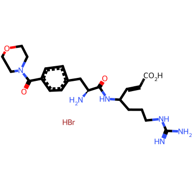 Br.N=C(N)NCCCC(C=CC(=O)O)NC(=O)[C@@H](N)Cc1ccc(C(=O)N2CCOCC2)cc1